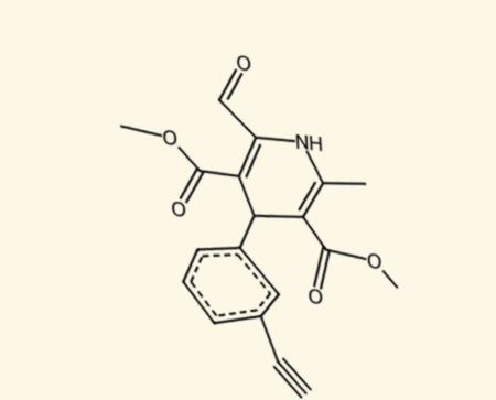 C#Cc1cccc(C2C(C(=O)OC)=C(C)NC(C=O)=C2C(=O)OC)c1